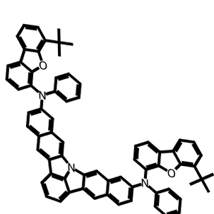 CC(C)(C)c1cccc2c1oc1c(N(c3ccccc3)c3ccc4cc5c6cccc7c8cc9ccc(N(c%10ccccc%10)c%10cccc%11c%10oc%10c(C(C)(C)C)cccc%10%11)cc9cc8n(c5cc4c3)c67)cccc12